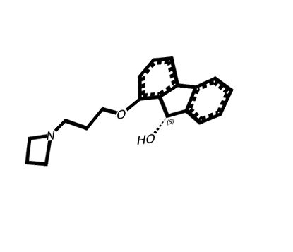 O[C@H]1c2ccccc2-c2cccc(OCCCN3CCC3)c21